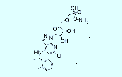 C[C@H](Nc1cc(Cl)nc2c1cnn2[C@@H]1O[C@H](COCP(=O)(O)ON)[C@@H](O)[C@H]1O)c1ccccc1F